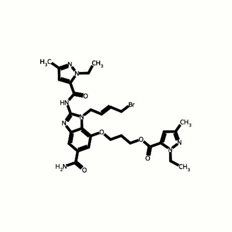 CCn1nc(C)cc1C(=O)Nc1nc2cc(C(N)=O)cc(OCCCOC(=O)c3cc(C)nn3CC)c2n1CC=CCBr